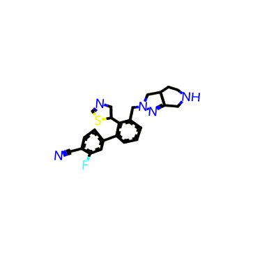 N#Cc1ccc(-c2cccc(CN3CC4CCNCC4=N3)c2C2CN=CS2)cc1F